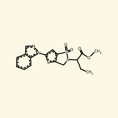 CCC(C(=O)OC)N1Cc2sc(-n3ncc4ccccc43)cc2S1(=O)=O